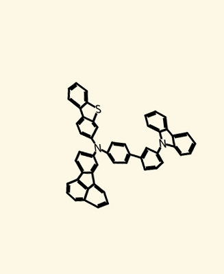 c1cc(-c2ccc(N(c3ccc4c(c3)-c3cccc5cccc-4c35)c3ccc4c(c3)sc3ccccc34)cc2)cc(-n2c3ccccc3c3ccccc32)c1